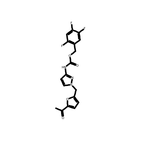 CC(=O)c1ccc(Cn2ccc(NC(=O)OCc3cc(F)c(F)cc3F)n2)o1